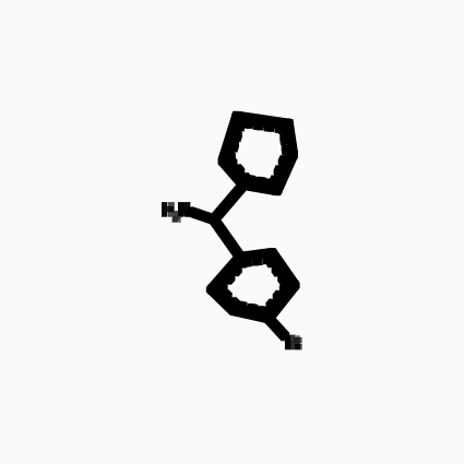 CCc1ccc(C(N)c2ccccc2)cc1